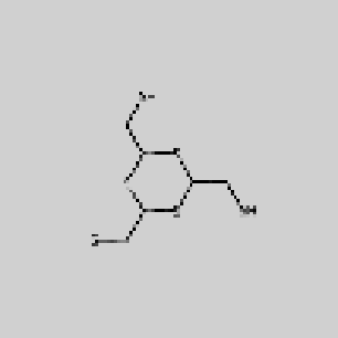 SCC1SC(CS)SC(CS)S1